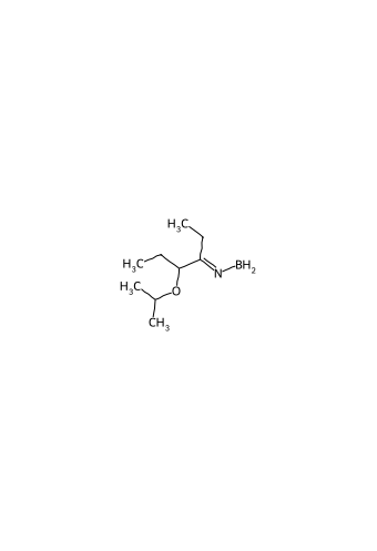 B/N=C(\CC)C(CC)OC(C)C